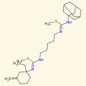 C=C1CCCC(CC)(/N=C(/NCCCCC/N=C(/NC23CC4CC(CC(C4)C2)C3)SC)SC)C1